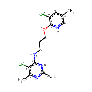 Cc1nc(C)c(Cl)c(NCCCOc2ncc(C(F)(F)F)cc2Cl)n1